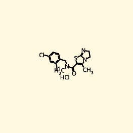 CC1=C(C(=O)N(C)Cc2ccc(Cl)cc2Cl)SC2=NCCN21.Cl